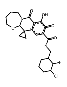 O=C(NCC1CCCC(Cl)C1F)c1cn2c(c(O)c1=O)C(=O)N1CCCCOC1C21CC1